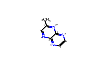 Cc1cnc2nccnc2n1